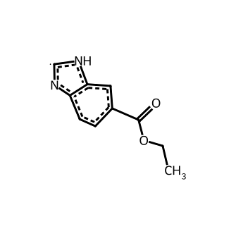 CCOC(=O)c1ccc2n[c][nH]c2c1